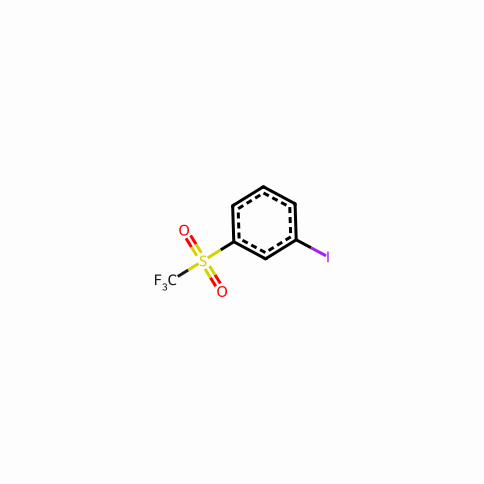 O=S(=O)(c1cccc(I)c1)C(F)(F)F